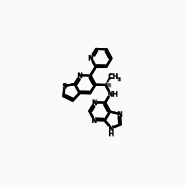 C[C@H](Nc1ncnc2[nH]cnc12)c1cc2ccsc2nc1-c1ccccn1